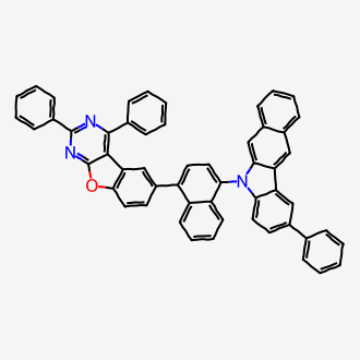 c1ccc(-c2ccc3c(c2)c2cc4ccccc4cc2n3-c2ccc(-c3ccc4oc5nc(-c6ccccc6)nc(-c6ccccc6)c5c4c3)c3ccccc23)cc1